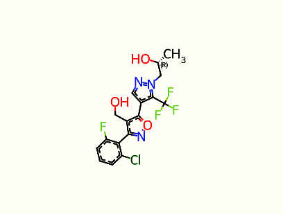 C[C@@H](O)Cn1ncc(-c2onc(-c3c(F)cccc3Cl)c2CO)c1C(F)(F)F